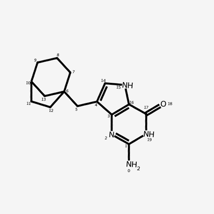 Nc1nc2c(CC34CCCC(CC3)C4)c[nH]c2c(=O)[nH]1